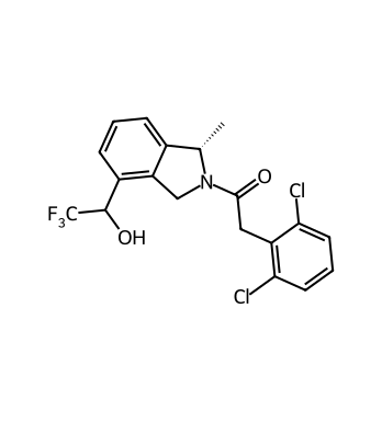 C[C@H]1c2cccc(C(O)C(F)(F)F)c2CN1C(=O)Cc1c(Cl)cccc1Cl